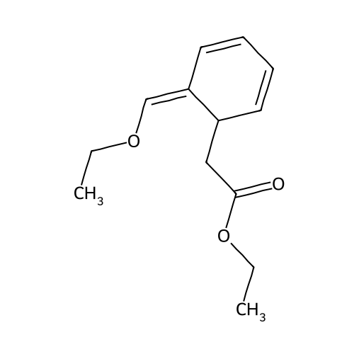 CCO/C=C1/C=CC=CC1CC(=O)OCC